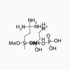 CO[Si](C)(CCC(N)(N)N)OC.NCCNO.O=P(O)(O)O